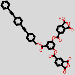 O=C(OCc1ccc(C#Cc2ccc(C#Cc3ccccc3)cc2)cc1)c1cc(OC(=O)c2ccc3c(c2)C(=O)OC3=O)cc(OC(=O)c2ccc3c(c2)C(=O)OC3O)c1